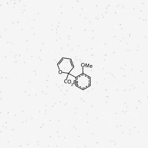 CCOC(=O)C1(c2ccccc2OC)C=CC=CO1